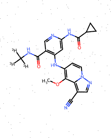 [2H]C([2H])([2H])NC(=O)c1cnc(NC(=O)C2CC2)cc1Nc1ccn2ncc(C#N)c2c1OC